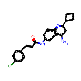 Nc1cc(C2CCC2)nc2ccc(NC(=O)C=Cc3ccc(Cl)cc3)cc12